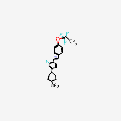 CCCCC1CCC(c2ccc(/C=C/c3ccc(OC(F)(F)C(F)C(F)(F)F)cc3)c(F)c2)CC1